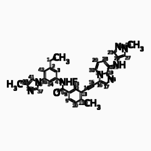 CCc1cc(NC(=O)c2ccc(C)c(C#Cc3cnc4c(Nc5cnn(C)c5)cccn34)c2F)cc(-n2cnc(C)c2)c1